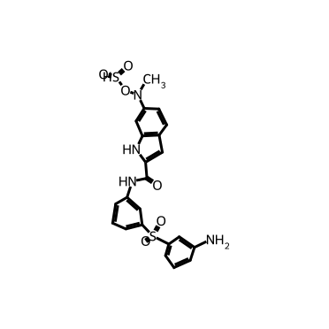 CN(O[SH](=O)=O)c1ccc2cc(C(=O)Nc3cccc(S(=O)(=O)c4cccc(N)c4)c3)[nH]c2c1